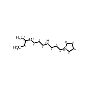 CCC(C)OCCCNCCCN1CCCC1